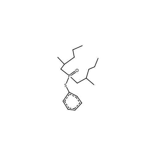 CCCC(C)CP(=O)(CC(C)CCC)Sc1ccccc1